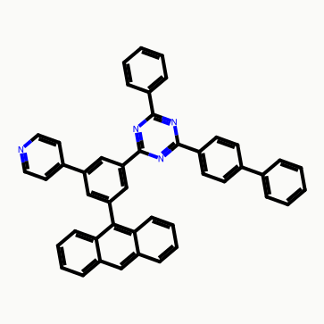 c1ccc(-c2ccc(-c3nc(-c4ccccc4)nc(-c4cc(-c5ccncc5)cc(-c5c6ccccc6cc6ccccc56)c4)n3)cc2)cc1